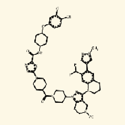 CC(=O)N1CCc2c(c(N3CCCc4cc(-c5cnn(C)c5)c(C(F)F)cc43)nn2C2CCN(C(=O)C3CCN(c4nnc(C(=O)NC5CCC(Oc6ccc(C#N)c(Cl)c6)CC5)s4)CC3)CC2)C1